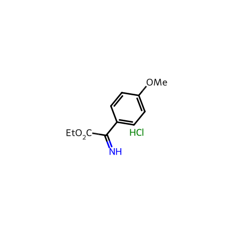 CCOC(=O)C(=N)c1ccc(OC)cc1.Cl